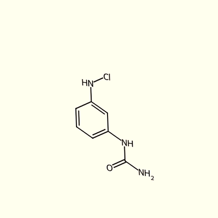 NC(=O)Nc1cccc(NCl)c1